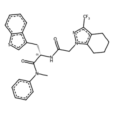 CN(C(=O)[C@H](Cc1csc2ccccc12)NC(=O)Cn1nc(C(F)(F)F)c2c1CCCC2)c1ccccc1